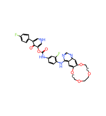 O=C(Nc1ccc(Nc2ncnc3cc4c(cc23)OCCOCCOCCO4)c(F)c1)Oc1c[nH]cc(-c2ccc(F)cc2)c1=O